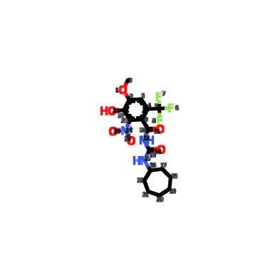 COc1cc(C(F)(F)F)c(C(=O)NC(=O)NC2CCCCCC2)c([N+](=O)[O-])c1O